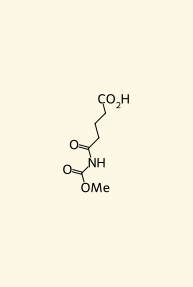 COC(=O)NC(=O)CCCC(=O)O